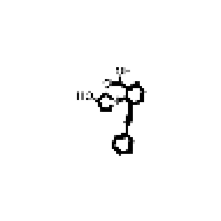 O=C(O)c1cccc(C#Cc2ccccc2)c1N1CC[C@H](O)C1